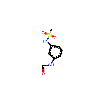 CS(=O)(=O)Nc1cccc(NC=O)c1